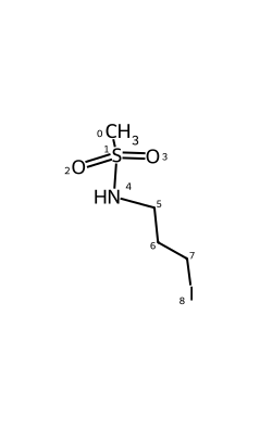 CS(=O)(=O)NCCCI